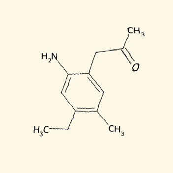 CCc1cc(N)c(CC(C)=O)cc1C